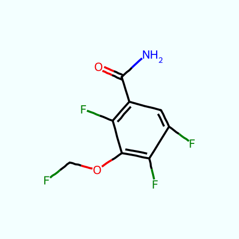 NC(=O)c1cc(F)c(F)c(OCF)c1F